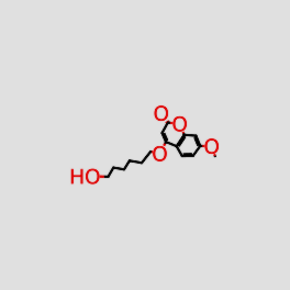 COc1ccc2c(OCCCCCCO)cc(=O)oc2c1